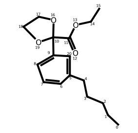 CCCCCc1cccc(C2(C(=O)OCC)OCCO2)c1